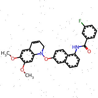 COc1cc2c(cc1OC)N(Oc1ccc3c(NC(=O)c4cccc(F)c4)cccc3c1)CC=C2